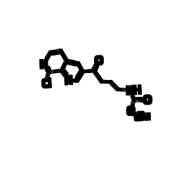 CC(C)(C)OC(=O)NCCCC(=O)c1cnc2c(Cl)nccc2c1